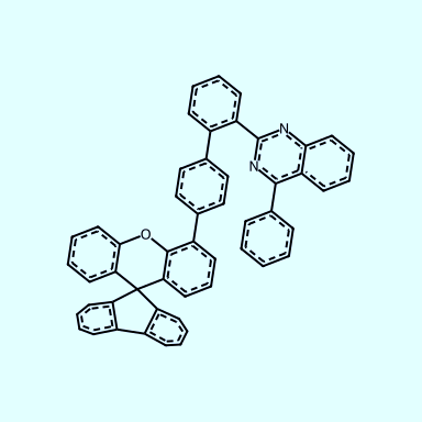 c1ccc(-c2nc(-c3ccccc3-c3ccc(-c4cccc5c4Oc4ccccc4C54c5ccccc5-c5ccccc54)cc3)nc3ccccc23)cc1